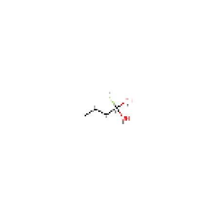 [CH2]CCC(O)(O)F